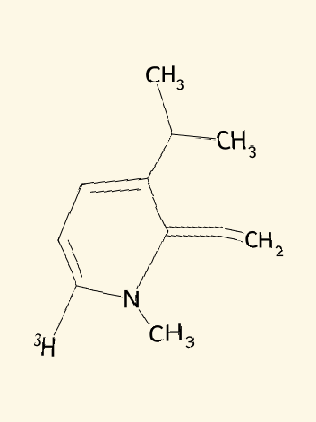 [3H]C1=CC=C(C(C)C)C(=C)N1C